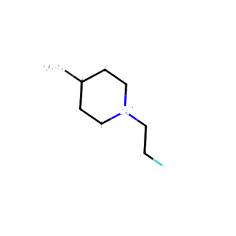 CNC1CCN(CCF)CC1